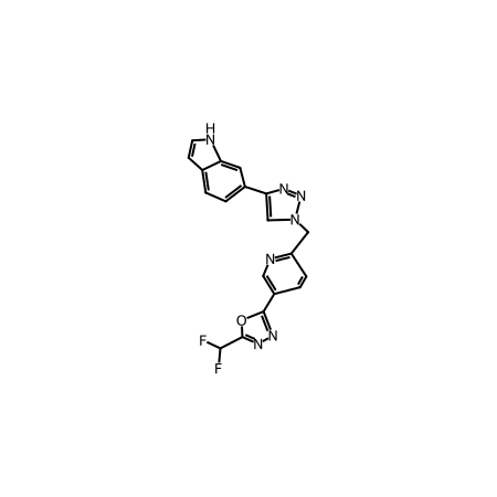 FC(F)c1nnc(-c2ccc(Cn3cc(-c4ccc5cc[nH]c5c4)nn3)nc2)o1